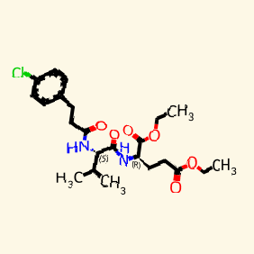 CCOC(=O)CC[C@@H](NC(=O)[C@@H](NC(=O)CCc1ccc(Cl)cc1)C(C)C)C(=O)OCC